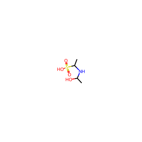 CC(O)NC(C)S(=O)(=O)O